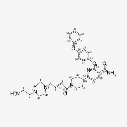 NCCN1CCN(C/C=C/C(=O)N2CCC(c3ccc(C(N)=O)c(Oc4ccc(Oc5ccccc5)cc4)n3)CC2)CC1